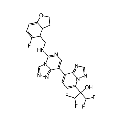 OC(c1ccc(-c2cnc(NCC3C(F)=CC=C4OCCC43)n3cnnc23)c2ncnn12)(C(F)F)C(F)F